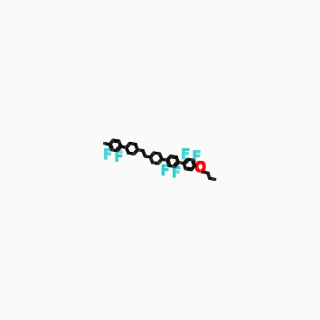 CCCCOc1ccc(-c2ccc(C3CCC(CCC4CCC(c5ccc(C)c(F)c5F)CC4)CC3)c(F)c2F)c(F)c1F